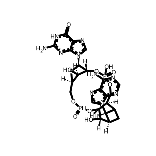 Nc1nc2c(ncn2[C@@H]2S[C@@H]3CO[PH](=O)O[C@H]4[C@@H](O)[C@@H]5CC([C@H]5n5cnc6c(N)ncnc65)[C@@H]4COP(=O)(O)O[C@@H]2[C@@H]3O)c(=O)[nH]1